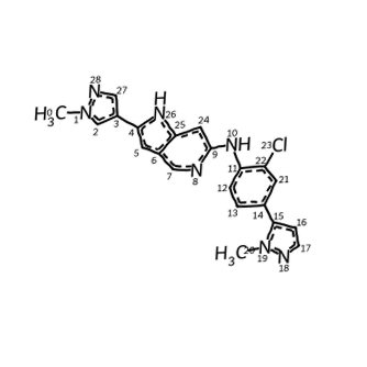 Cn1cc(-c2cc3cnc(Nc4ccc(-c5ccnn5C)cc4Cl)cc3[nH]2)cn1